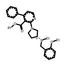 CCOc1ccccc1CN(CC)[C@@H]1CCN(c2nccc(-c3ccccc3)c2C(=O)OC(C)C)C1